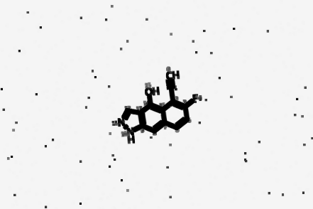 C#Cc1c(F)ccc2cc3[nH]ncc3c(O)c12